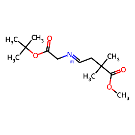 COC(=O)C(C)(C)C/C=N/CC(=O)OC(C)(C)C